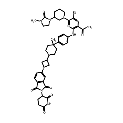 CCc1nc(C(N)=O)c(Nc2ccc(C3(C)CCN(C4CN(c5ccc6c(c5)C(=O)N(C5CCC(=O)NC5=O)C6=O)C4)CC3)cc2)nc1N1CCCC(N2CCN(C)C2=O)C1